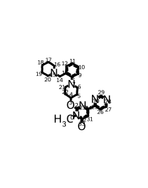 Cn1c(OC2CCN(c3ccccc3CN3CCCCC3)CC2)nc(-c2ccncn2)cc1=O